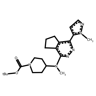 CN(c1nnc(-c2ccnn2C)c2c1CCC2)C1CCN(C(=O)OC(C)(C)C)CC1